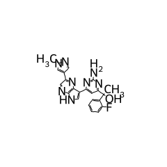 Cn1cc(-c2cnc3[nH]cc(-c4cc(C(C)(O)c5ccccc5F)nc(N)n4)c3n2)cn1